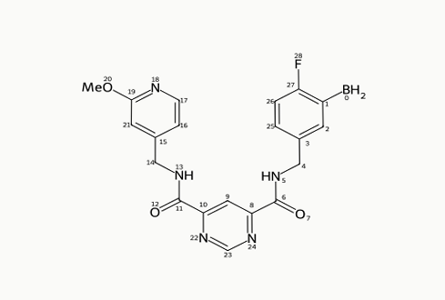 Bc1cc(CNC(=O)c2cc(C(=O)NCc3ccnc(OC)c3)ncn2)ccc1F